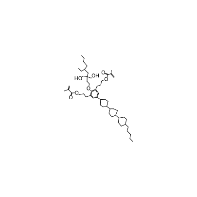 C=C(C)C(=O)OCCCc1cc(C2CCC(C3CCC(C4CCC(CCCCC)CC4)CC3)CC2)cc(CCCOC(=O)C(=C)C)c1OCCC(CO)(CO)CC(CC)CCCC